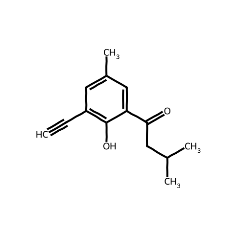 C#Cc1cc(C)cc(C(=O)CC(C)C)c1O